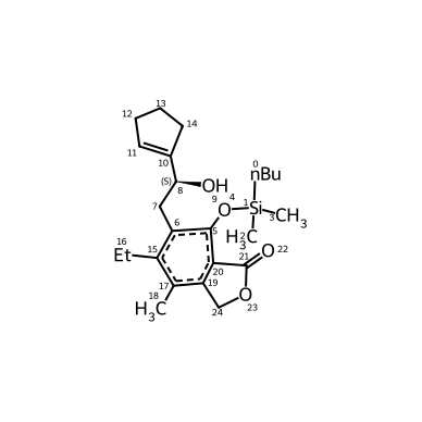 CCCC[Si](C)(C)Oc1c(C[C@H](O)C2=CCCC2)c(CC)c(C)c2c1C(=O)OC2